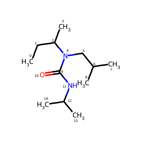 CCC(C)N(CC(C)C)C(=O)NC(C)C